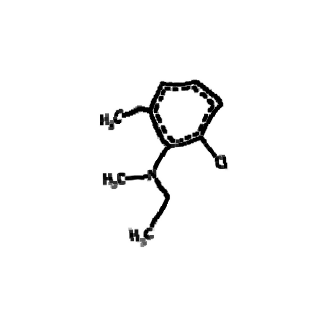 CCN(C)c1c(C)cccc1Cl